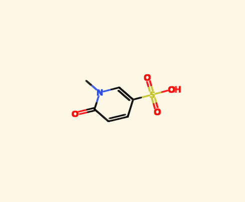 Cn1cc(S(=O)(=O)O)ccc1=O